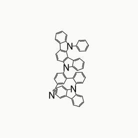 N#Cc1ccc(-n2c3ccccc3c3c2ccc2c4ccccc4n(-c4ccccc4)c23)c(-c2ccccc2-n2c3ccccc3c3ccccc32)c1